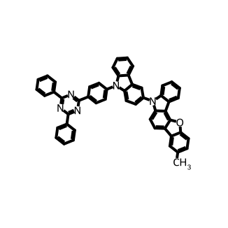 Cc1ccc2oc3c(ccc4c3c3ccccc3n4-c3ccc4c(c3)c3ccccc3n4-c3ccc(-c4nc(-c5ccccc5)nc(-c5ccccc5)n4)cc3)c2c1